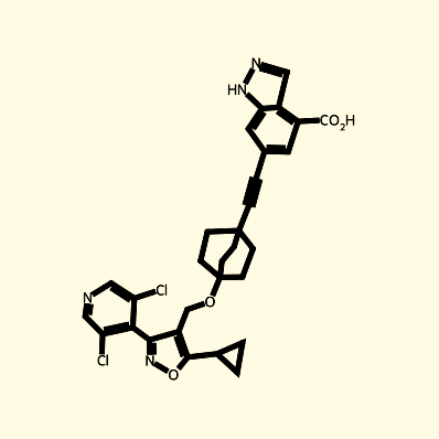 O=C(O)c1cc(C#CC23CCC(OCc4c(-c5c(Cl)cncc5Cl)noc4C4CC4)(CC2)CC3)cc2[nH]ncc12